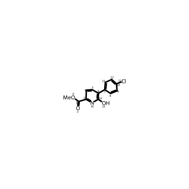 COC(=O)c1ccc(-c2ccc(Cl)cc2)c(O)n1